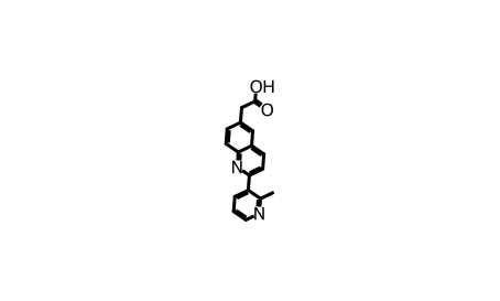 Cc1ncccc1-c1ccc2cc(CC(=O)O)ccc2n1